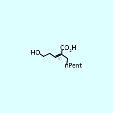 CCCCCC/C(=C/CCO)C(=O)O